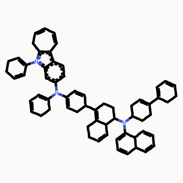 C1=CCCC(C2=CCC(N(C3=CC=CC4C=CC=CC34)C3CCC(C4C=CC(N(C5=CC=CCC5)c5ccc6c7c(n(C8=CCCC=C8)c6c5)CC=CC=C7)=CC4)=C4CCC=CC43)CC2)=C1